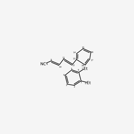 CCc1ccccc1CC.N#CC=CC=Cc1ccccc1